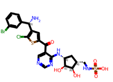 N[C@@H](c1cccc(Br)c1)c1cc(C(=O)c2cncnc2N[C@@H]2C[C@H]([CH]NS(=O)(=O)O)[C@@H](O)[C@H]2O)sc1Cl